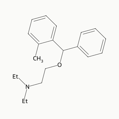 CCN(CC)CCOC(c1ccccc1)c1ccccc1C